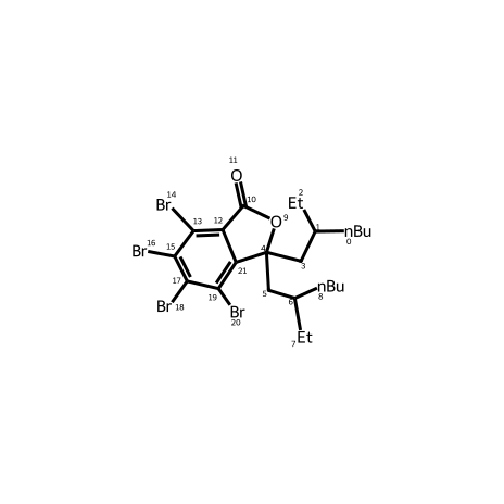 CCCCC(CC)CC1(CC(CC)CCCC)OC(=O)c2c(Br)c(Br)c(Br)c(Br)c21